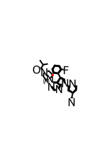 CC(C)C(=O)N1CCN(c2ncnc3c2c(-c2ccccc2F)cn3-c2cc(C#N)ccn2)[C@H](C)C1